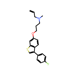 C=CCN(C)CCCOc1ccc2c(-c3ccc(F)cc3)csc2c1